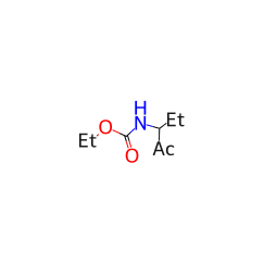 CCOC(=O)NC(CC)C(C)=O